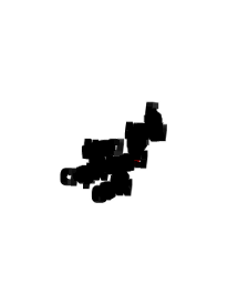 COc1ccc(-n2cnc3ccc(-c4ccnn4-c4ccc(F)cc4)cc32)cc1.Fc1cc(Cl)ccc1-n1cnc2ccc(-c3ccnn3-c3ccc(Cl)cc3)cc21.Fc1ccc(-n2nccc2-c2ccc3ncn(-c4ccc(Cl)cc4F)c3c2)cc1